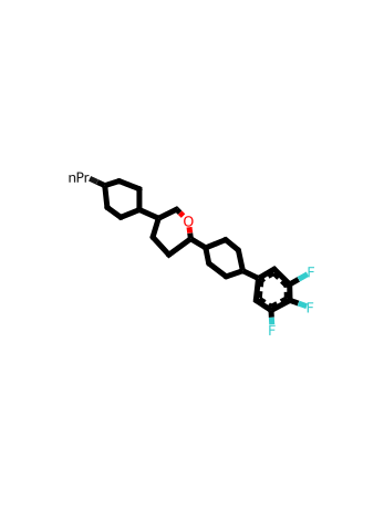 CCCC1CCC(C2CCC(C3CCC(c4cc(F)c(F)c(F)c4)CC3)OC2)CC1